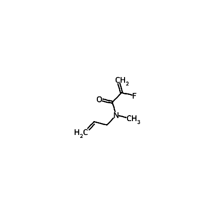 C=CCN(C)C(=O)C(=C)F